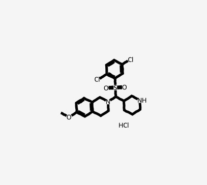 COc1ccc2c(c1)CCN(C(C1CCCNC1)S(=O)(=O)c1cc(Cl)ccc1Cl)C2.Cl